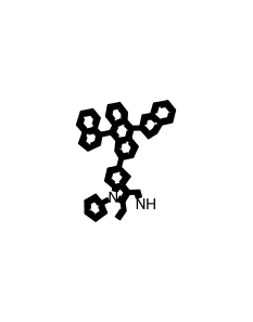 C=Cc1c(C=N)c2cc(-c3ccc4c(-c5ccc6ccccc6c5)c5ccccc5c(-c5cccc6ccccc56)c4c3)ccc2n1-c1ccccc1